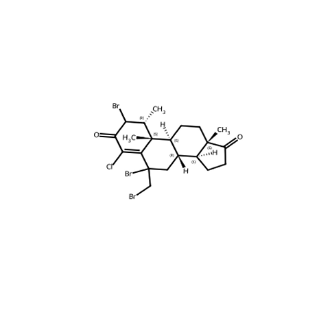 C[C@H]1C(Br)C(=O)C(Cl)=C2C(Br)(CBr)C[C@@H]3[C@H](CC[C@]4(C)C(=O)CC[C@@H]34)[C@]21C